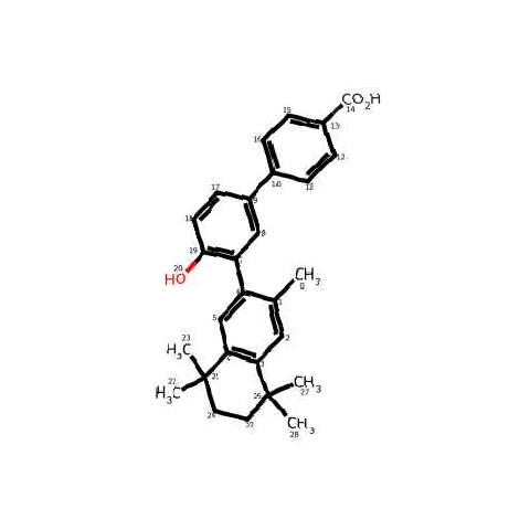 Cc1cc2c(cc1-c1cc(-c3ccc(C(=O)O)cc3)ccc1O)C(C)(C)CCC2(C)C